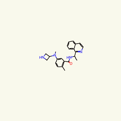 Cc1ccc(N(C)C2CNC2)cc1C(=O)NC(C)c1nccc2ccccc12